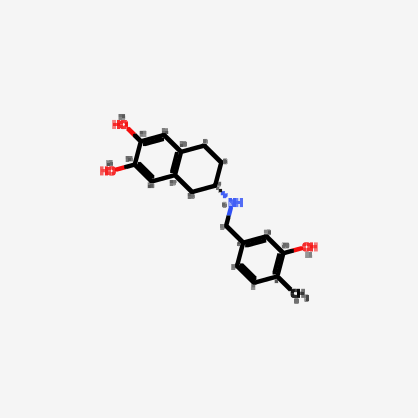 Cc1ccc(CN[C@H]2CCc3cc(O)c(O)cc3C2)cc1O